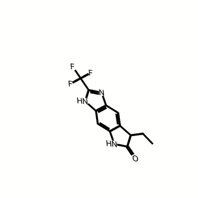 CCC1C(=O)Nc2cc3[nH]c(C(F)(F)F)nc3cc21